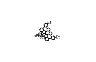 CCC[SiH](C)[Zr]([Cl])([Cl])([CH]1C(CC2CCCC2)=Cc2c(-c3ccc(CC)cc3)cccc21)[CH]1C(CC2CCCC2)=Cc2c(-c3ccc(CC)cc3)cccc21